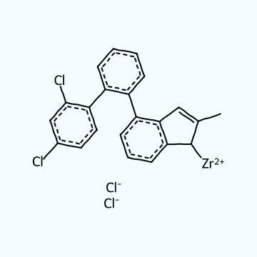 CC1=Cc2c(-c3ccccc3-c3ccc(Cl)cc3Cl)cccc2[CH]1[Zr+2].[Cl-].[Cl-]